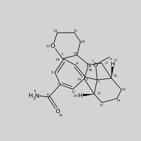 COC1(c2cccc(C(N)=O)c2)[C@@H]2CCC[C@H]1CN(C1CCCOC1)C2